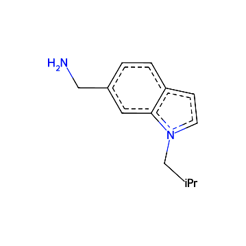 CC(C)Cn1ccc2ccc(CN)cc21